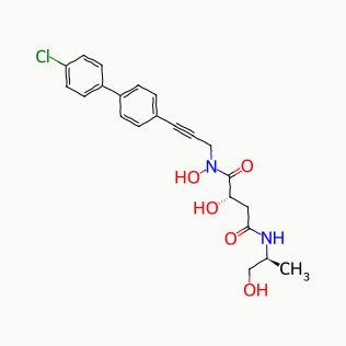 C[C@@H](CO)NC(=O)C[C@H](O)C(=O)N(O)CC#Cc1ccc(-c2ccc(Cl)cc2)cc1